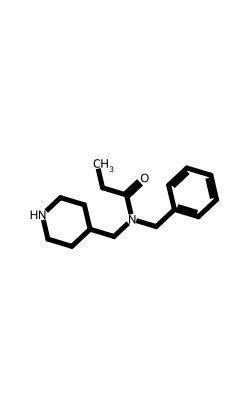 CCC(=O)N(Cc1ccccc1)CC1CCNCC1